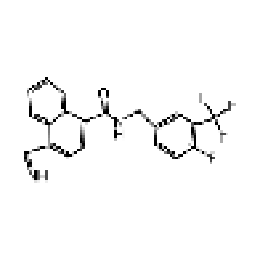 N=Cc1ccc(C(=O)NCc2ccc(F)c(C(F)(F)F)c2)c2ccccc12